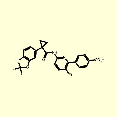 CCc1ccc(NC(=O)C2(c3ccc4c(c3)OC(F)(F)O4)CC2)nc1-c1ccc(C(=O)O)cc1